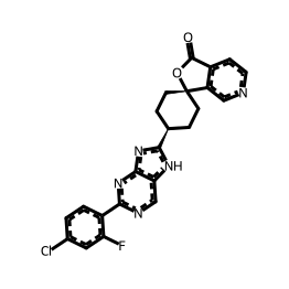 O=C1O[C@]2(CC[C@H](c3nc4nc(-c5ccc(Cl)cc5F)ncc4[nH]3)CC2)c2cnccc21